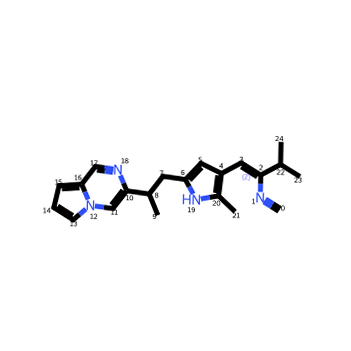 C=N/C(=C\c1cc(CC(C)c2cn3cccc3cn2)[nH]c1C)C(C)C